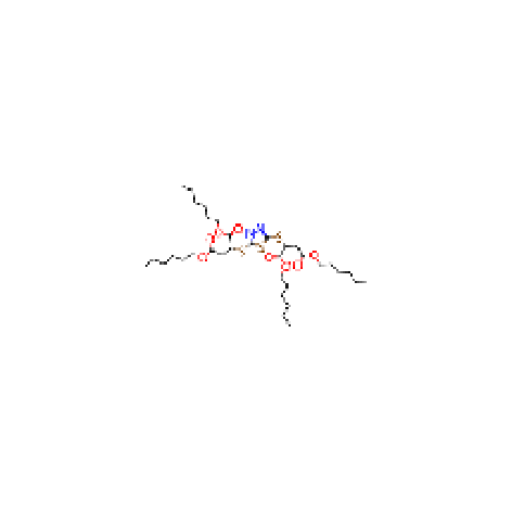 CCCCCCOC(=O)CC(Sc1nnc(SC(CC(=O)OCCCCCC)C(=O)OCCCCCC)s1)C(=O)OCCCCCC